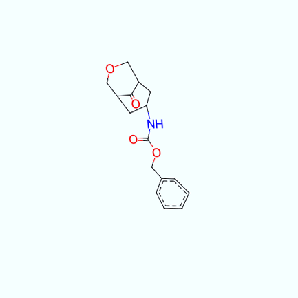 O=C(NC1CC2COCC(C1)C2=O)OCc1ccccc1